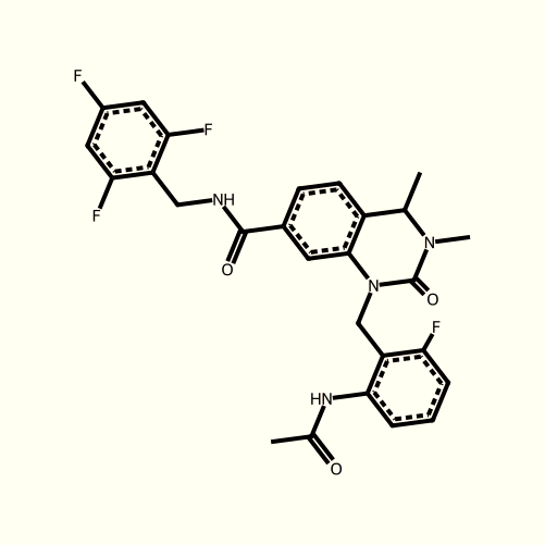 CC(=O)Nc1cccc(F)c1CN1C(=O)N(C)C(C)c2ccc(C(=O)NCc3c(F)cc(F)cc3F)cc21